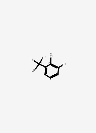 Fc1cccc(C(F)(F)F)c1Cl